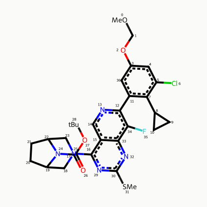 COCOc1cc(Cl)c(C2CC2)c(-c2ncc3c(N4CC5CCC(C4)N5C(=O)OC(C)(C)C)nc(SC)nc3c2F)c1